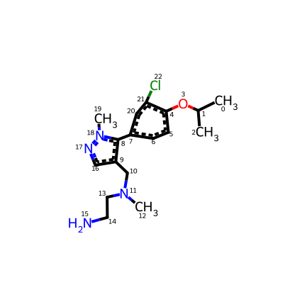 CC(C)Oc1ccc(-c2c(CN(C)CCN)cnn2C)cc1Cl